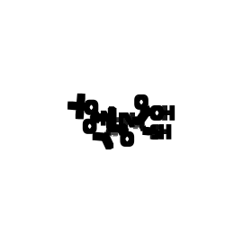 CC(C)[C@@H](C(=O)N[C@@H](CS)C(=O)O)N(C)C(=O)OC(C)(C)C